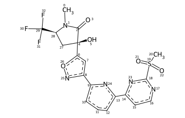 CN1C(=O)[C@](O)(c2cc(-c3cccc(-c4ccnc(S(C)(=O)=O)n4)n3)no2)C[C@H]1C(F)(F)F